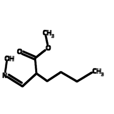 CCCCC(/C=N\O)C(=O)OC